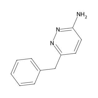 Nc1ccc(Cc2ccccc2)nn1